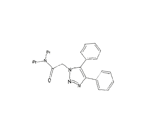 CC(C)N(C(=O)Cn1nnc(-c2ccccc2)c1-c1ccccc1)C(C)C